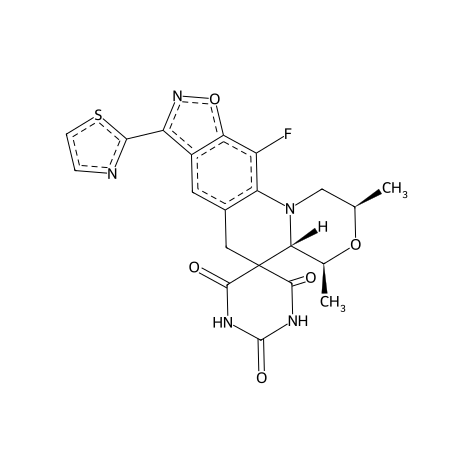 C[C@@H]1CN2c3c(cc4c(-c5nccs5)noc4c3F)CC3(C(=O)NC(=O)NC3=O)[C@H]2[C@H](C)O1